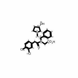 O=C(O)CN(C(=O)Cc1ccc(Cl)c(Cl)c1)[C@H](CN1CC[C@H](O)C1)c1ccccc1